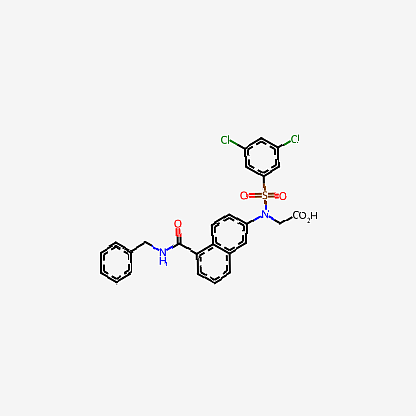 O=C(O)CN(c1ccc2c(C(=O)NCc3ccccc3)cccc2c1)S(=O)(=O)c1cc(Cl)cc(Cl)c1